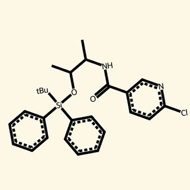 CC(NC(=O)c1ccc(Cl)nc1)C(C)O[Si](c1ccccc1)(c1ccccc1)C(C)(C)C